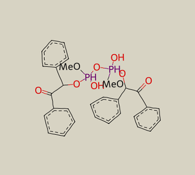 CO[PH](O)(OC(C(=O)c1ccccc1)c1ccccc1)O[PH](O)(OC)OC(C(=O)c1ccccc1)c1ccccc1